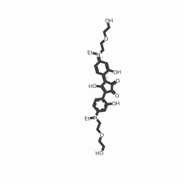 CCN(CCOCCO)c1ccc(C2=C(O)/C(=C3C=C/C(=[N+](\CC)CCOCCO)C=C\3O)C(=O)C2=O)c(O)c1